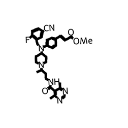 COC(=O)C=Cc1ccc(N(Cc2cc(C#N)ccc2F)C2CCN(C(C)CCNC(=O)c3c(C)ncnc3C)CC2)cc1